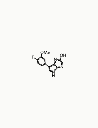 COc1cc(-c2c[nH]c3ncc(O)nc23)ccc1F